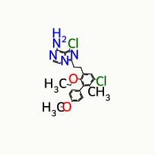 CCOc1c(CCc2nc(Cl)c3c(N)nccn23)cc(Cl)c(C)c1-c1ccc(OC)cc1